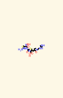 Nc1nc(/C(=N/O)C(=O)NC2C(=O)N3C(C(=O)O)=C(C=C4CCN(CCNC5CNC5)C4=O)CSC23)cs1